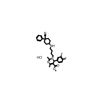 COC(=O)C1=C(C)N=C(C)N(CCCCNC2CCC(C#N)(c3ccccc3)CC2)C1c1ccc(F)c(F)c1.Cl